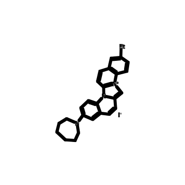 CCc1ccc2c(ccc3n4c(ccc5cc(N6CCCCCC6)ccc54)c[n+]23)c1.[I-]